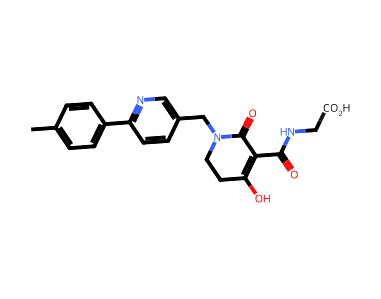 Cc1ccc(-c2ccc(CN3CCC(O)=C(C(=O)NCC(=O)O)C3=O)cn2)cc1